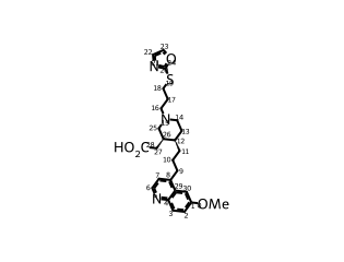 COc1ccc2nccc(CCC[C@@H]3CCN(CCCSc4ncco4)C[C@@H]3CC(=O)O)c2c1